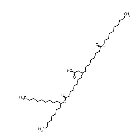 CCCCCCCCCOC(=O)CCCCCCCN(CCCCCCCC(=O)OC(CCCCCCCC)CCCCCCCCC)CC(=O)O